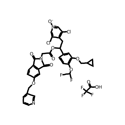 O=C(CN1C(=O)c2ccc(OCc3cccnc3)cc2C1=O)OC(Cc1c(Cl)c[n+]([O-])cc1Cl)c1ccc(OC(F)F)c(OCC2CC2)c1.O=C(O)C(F)(F)F